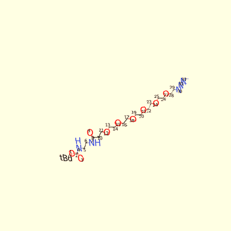 CC(C)(C)OC(=O)NCCNC(=O)CCOCCOCCOCCOCCOCCOCCN=[N+]=[N-]